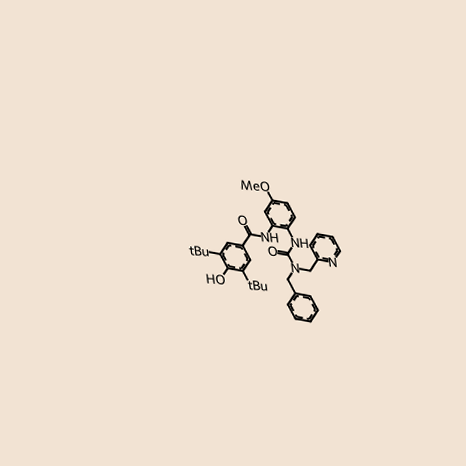 COc1ccc(NC(=O)N(Cc2ccccc2)Cc2ccccn2)c(NC(=O)c2cc(C(C)(C)C)c(O)c(C(C)(C)C)c2)c1